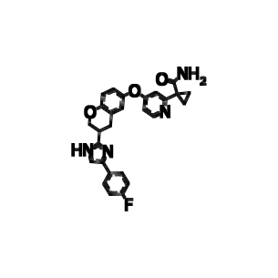 NC(=O)C1(c2cc(Oc3ccc4c(c3)CC(c3nc(-c5ccc(F)cc5)c[nH]3)CO4)ccn2)CC1